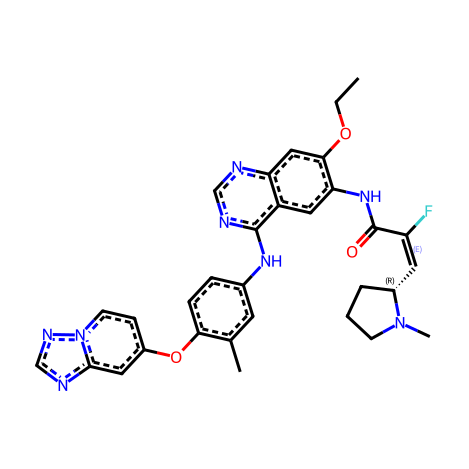 CCOc1cc2ncnc(Nc3ccc(Oc4ccn5ncnc5c4)c(C)c3)c2cc1NC(=O)/C(F)=C\[C@H]1CCCN1C